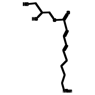 CCCCCCCCCCCCCC=CC=CC(=O)OCC(O)CO